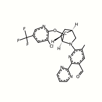 Cc1cc(C=O)c(-c2ncccn2)nc1N1C[C@@H]2CC[C@H]1[C@H](Oc1ncc(C(F)(F)F)cc1Cl)C2